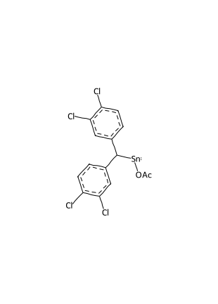 CC(=O)[O][Sn][CH](c1ccc(Cl)c(Cl)c1)c1ccc(Cl)c(Cl)c1